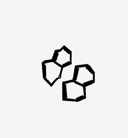 C1=Cc2ccccc2OC1.c1ccc2ccccc2c1